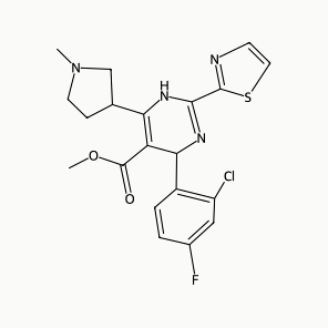 COC(=O)C1=C(C2CCN(C)C2)NC(c2nccs2)=NC1c1ccc(F)cc1Cl